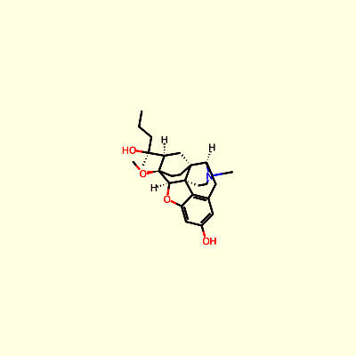 CCC[C@](C)(O)[C@H]1C[C@@]23CC[C@]1(OC)[C@@H]1Oc4cc(O)cc5c4[C@@]12CCN(C)[C@@H]3C5